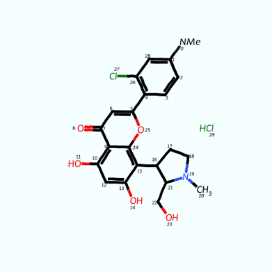 CNc1ccc(-c2cc(=O)c3c(O)cc(O)c(C4CCN(C)C4CO)c3o2)c(Cl)c1.Cl